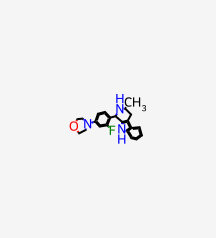 C[C@H]1Cc2c([nH]c3ccccc23)C(c2ccc(N3CCOCC3)cc2F)N1